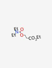 CCOC(=O)CCOC(=O)N(CC)CC